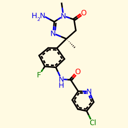 CN1C(=O)C[C@@](C)(c2ccc(F)c(NC(=O)c3ccc(Cl)cn3)c2)N=C1N